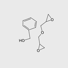 C(OCC1CO1)C1CO1.OCc1ccccc1